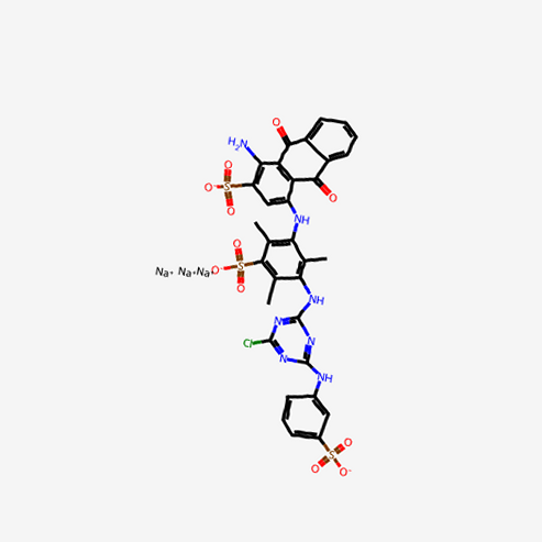 Cc1c(Nc2nc(Cl)nc(Nc3cccc(S(=O)(=O)[O-])c3)n2)c(C)c(S(=O)(=O)[O-])c(C)c1Nc1cc(S(=O)(=O)[O-])c(N)c2c1C(=O)c1ccccc1C2=O.[Na+].[Na+].[Na+]